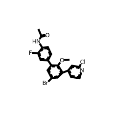 COc1c(-c2ccnc(Cl)c2)cc(Br)cc1-c1ccc(NC(C)=O)c(F)c1